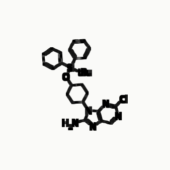 CC(C)(C)[Si](OC1CCC(n2c(N)nc3cnc(Cl)nc32)CC1)(c1ccccc1)c1ccccc1